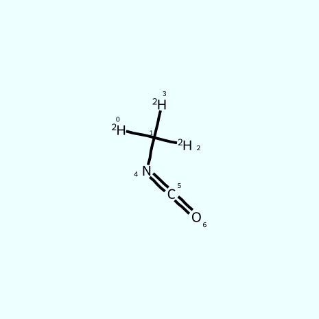 [2H]C([2H])([2H])N=C=O